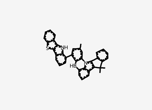 Cc1cc(-c2cccc3c2[nH]c2c4ccccc4sc32)c2c(c1)-n1c3c(c4cccc(c41)B2)C(C)(C)c1ccccc1-3